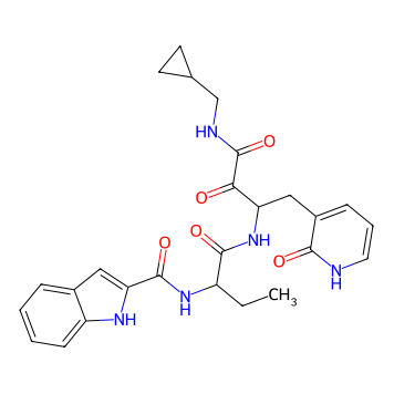 CCC(NC(=O)c1cc2ccccc2[nH]1)C(=O)NC(Cc1ccc[nH]c1=O)C(=O)C(=O)NCC1CC1